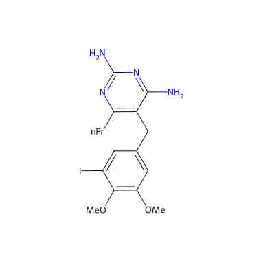 CCCc1nc(N)nc(N)c1Cc1cc(I)c(OC)c(OC)c1